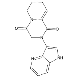 O=C1CN(c2c[nH]c3cccnc23)C(=O)C2=CCCCN12